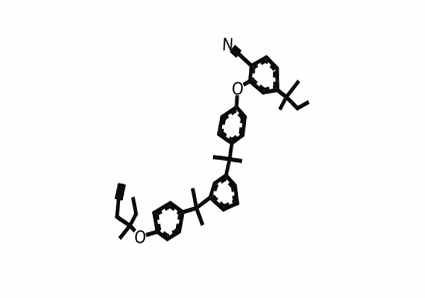 C#CCC(C)(CC)Oc1ccc(C(C)(C)c2cccc(C(C)(C)c3ccc(Oc4cc(C(C)(C)CC)ccc4C#N)cc3)c2)cc1